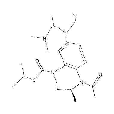 CCC(c1ccc2c(c1)N(C(=O)OC(C)C)C[C@H](C)N2C(C)=O)C(C)N(C)C